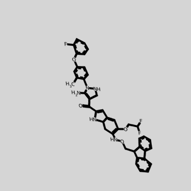 Cc1cc(Oc2ccccc2F)ccc1N1NCC(C(=O)C2=CC3=CC(OCC(F)F)=C(NOCC4c5ccccc5-c5ccccc54)CC3N2)=C1N